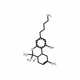 CCCCCc1cc(O)c2c(c1)OC(C)(C)[C@@H]1CC=C(C)CC21